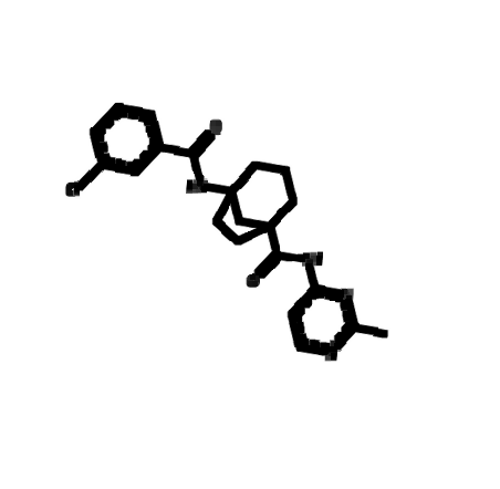 Cc1nccc(NC(=O)C23CCCC(NC(=O)c4cccc(Cl)c4)(CC2)C3)n1